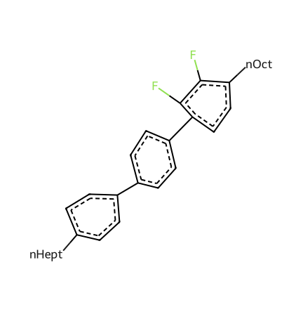 CCCCCCCCc1ccc(-c2ccc(-c3ccc(CCCCCCC)cc3)cc2)c(F)c1F